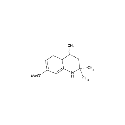 COC1=CCC2C(=C1)NC(C)(C)CC2C